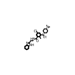 CCN(c1cc(Cl)cc(C(=O)NCCc2nc3ccccc3[nH]2)c1C)[C@H]1CC[C@H](N(C)C)CC1